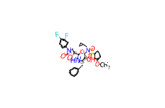 COc1cccc(S(=O)(=O)N(CC2CC2)C[C@H](O)[C@H](Cc2ccccc2)NC(=O)[C@@H]2CN(c3ccc(F)c(F)c3)C(=O)O2)c1